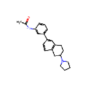 CC(=O)Nc1cccc(-c2ccc3c(c2)CCC(N2CCCC2)C3)c1